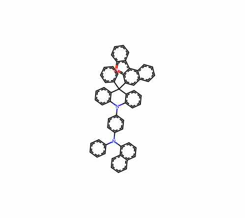 c1ccc(N(c2ccc(N3c4ccccc4C(c4ccccc4)(c4cc5ccccc5c5c4oc4ccccc45)c4ccccc43)cc2)c2cccc3ccccc23)cc1